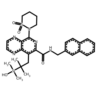 CC(C)(Cc1c(C(=O)NCc2ccc3ccccc3c2)nc(N2CCCCS2(=O)=O)c2nccnc12)[Si](C)(C)O